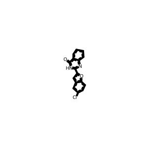 O=c1[nH]c(-c2cc3cc(Cl)ccc3o2)nc2ccccc12